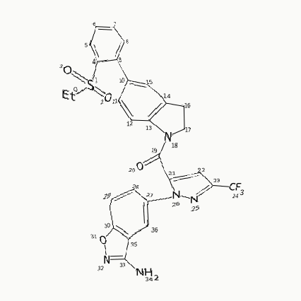 CCS(=O)(=O)c1ccccc1-c1ccc2c(c1)CCN2C(=O)c1cc(C(F)(F)F)nn1-c1ccc2onc(N)c2c1